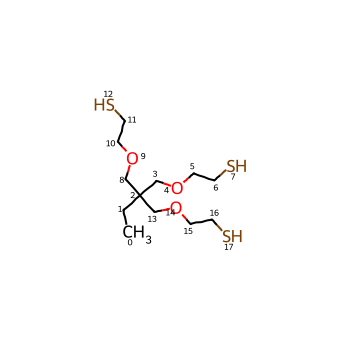 CCC(COCCS)(COCCS)COCCS